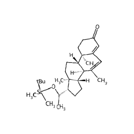 CC1=CC2=CC(=O)CC[C@]2(C)[C@H]2CC[C@]3(C)[C@@H](C(C)O[Si](C)(C)C(C)(C)C)CC[C@H]3[C@H]12